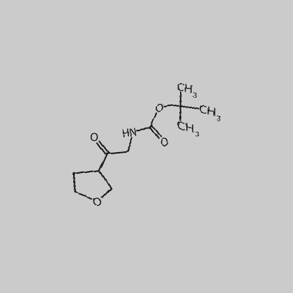 CC(C)(C)OC(=O)NCC(=O)C1CCOC1